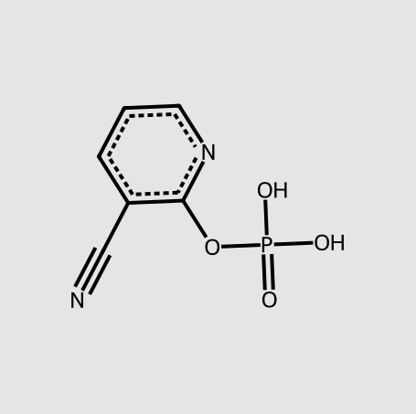 N#Cc1cccnc1OP(=O)(O)O